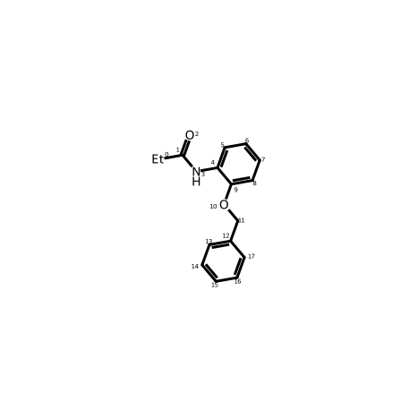 CCC(=O)Nc1ccccc1OCc1ccccc1